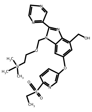 CCS(=O)(=O)c1ccc(Oc2cc(CO)c3nc(-c4cnccn4)n(COCC[Si](C)(C)C)c3c2)cn1